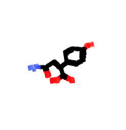 NC(=O)C=C(C(=O)O)c1ccc(O)cc1